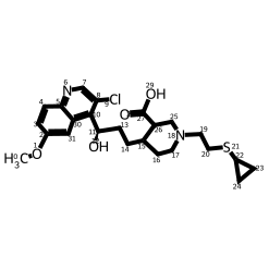 COc1ccc2ncc(Cl)c([C@H](O)CCC3CCN(CCSC4CC4)CC3C(=O)O)c2c1